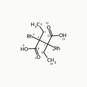 CC[C]([Rh])(C(=O)O)[C]([Rh])(CC)C(=O)O